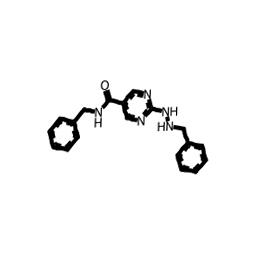 O=C(NCc1ccccc1)c1cnc(NNCc2ccccc2)nc1